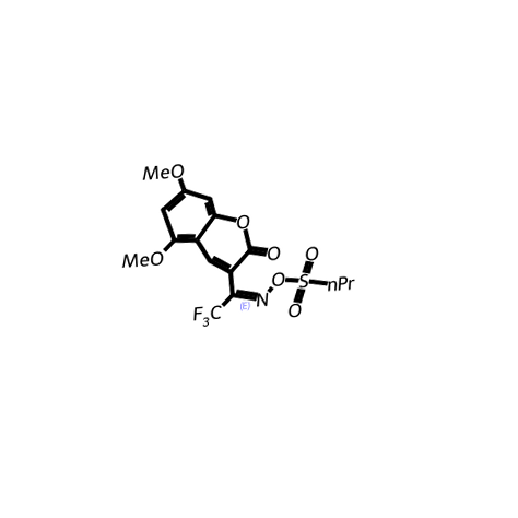 CCCS(=O)(=O)O/N=C(\c1cc2c(OC)cc(OC)cc2oc1=O)C(F)(F)F